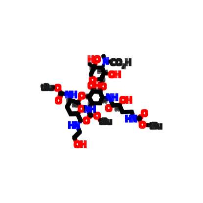 CN(C(=O)O)[C@@H]1[C@@H](O)[C@@H](O[C@@H]2[C@@H](O)[C@H](O[C@H]3OC(CNCCO)=CC[C@H]3NC(=O)OC(C)(C)C)[C@@H](NC(=O)OC(C)(C)C)C[C@H]2NC(=O)[C@@H](O)CCNC(=O)OC(C)(C)C)OC[C@]1(C)O